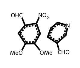 COc1cc(C=O)c([N+](=O)[O-])cc1OC.O=Cc1cccnc1